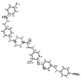 N#Cc1ccc(COc2ccc(Oc3ccc(/C=C/C(=O)N4CCN(Cc5ccc(CCNc6ccc(F)cc6)cc5)CC4)cc3Cl)nc2)cc1